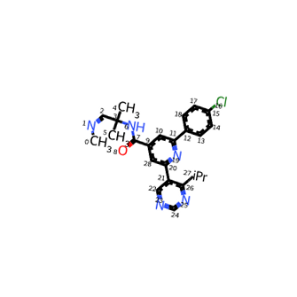 C/N=C\C(C)(C)NC(=O)c1cc(-c2ccc(Cl)cc2)nc(-c2cncnc2C(C)C)c1